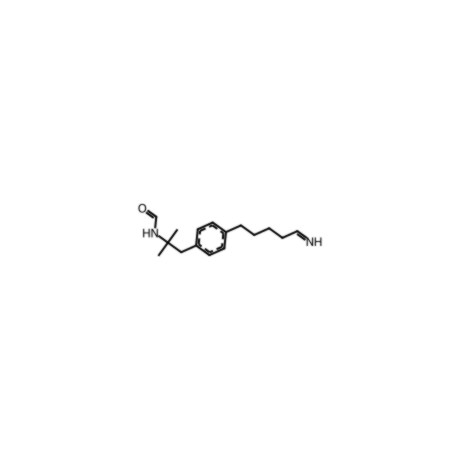 CC(C)(Cc1ccc(CCCCC=N)cc1)NC=O